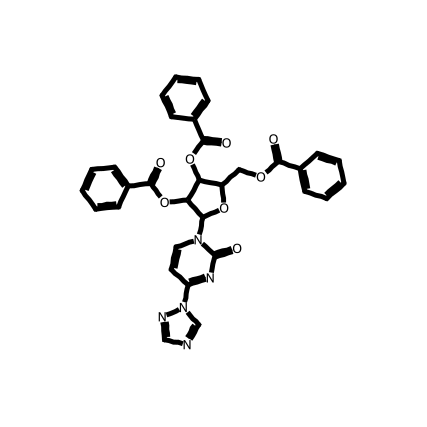 O=C(OCC1OC(n2ccc(-n3cncn3)nc2=O)C(OC(=O)c2ccccc2)C1OC(=O)c1ccccc1)c1ccccc1